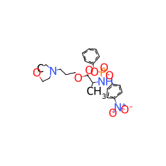 CC(NP(=O)(Oc1ccccc1)Oc1ccc([N+](=O)[O-])cc1)C(=O)OCCCN1CCOCC1